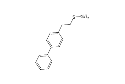 NSCCc1ccc(-c2ccccc2)cc1